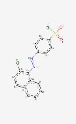 O=S(=O)(Cl)c1ccc(N=Nc2c(Cl)ccc3ccccc23)cc1